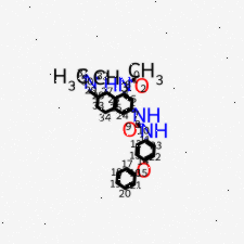 CC(=O)Nc1cc(NC(=O)Nc2ccc(Oc3ccccc3)cc2)cc2c1CC(CN(C)C)CC2